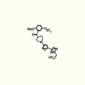 COc1ccc(OC(F)(F)F)cc1C(=O)C1CCN(c2cc(-c3nnn(CC(=O)O)n3)on2)CC1